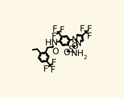 CCc1ccc(C(F)(F)F)cc1CC(=O)Nc1cc(S(N)(=O)=O)c(-n2cc(C(F)(F)F)cn2)cc1C(F)(F)F